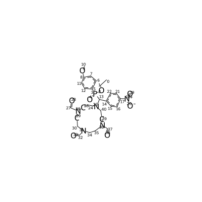 CCOP(=O)(c1ccc(OC)cc1)C(c1ccc([N+](=O)[O-])cc1)N1CCN(C=O)CCN(C=O)CCN(C=O)CC1